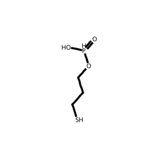 O=[PH](O)OCCCS